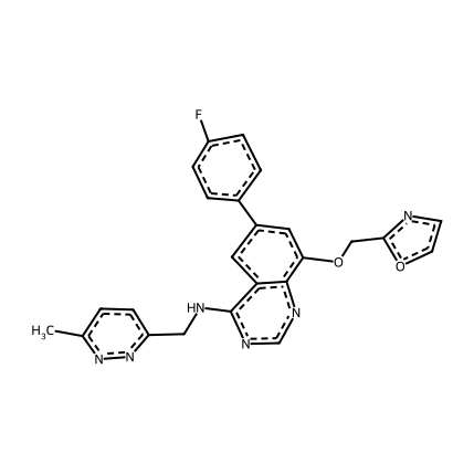 Cc1ccc(CNc2ncnc3c(OCc4ncco4)cc(-c4ccc(F)cc4)cc23)nn1